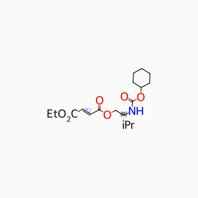 CCOC(=O)/C=C/C(=O)OC[C@H](NC(=O)OC1CCCCC1)C(C)C